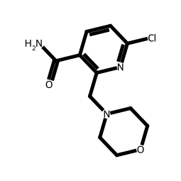 NC(=O)c1ccc(Cl)nc1CN1CCOCC1